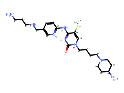 Cl.NCCCNCc1ccc(Nc2nc(=O)n(CCCCN3CCC(N)CC3)cc2F)nc1